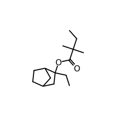 CCC(C)(C)C(=O)OC1(CC)CC2CCC1C2